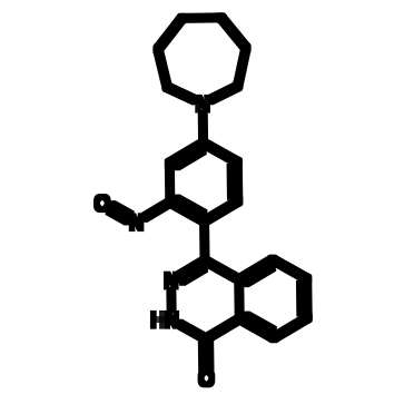 O=Nc1cc(N2CCCCCC2)ccc1-c1n[nH]c(=O)c2ccccc12